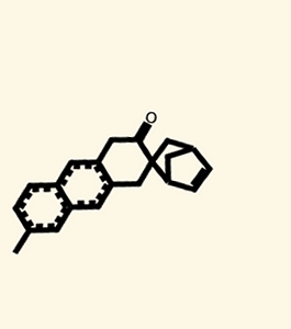 Cc1ccc2cc3c(cc2c1)CC1(CC2C=CC1C2)C(=O)C3